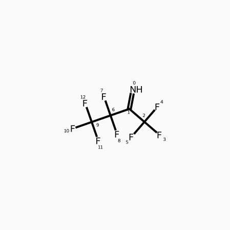 N=C(C(F)(F)F)C(F)(F)C(F)(F)F